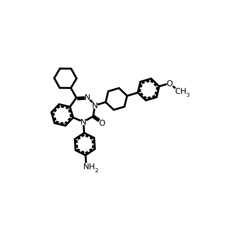 COc1ccc(C2CCC(N3N=C(C4CCCCC4)c4ccccc4N(c4ccc(N)cc4)C3=O)CC2)cc1